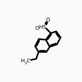 CCc1ccc2c([SH](=O)=O)cccc2c1